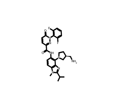 CC(C)c1nc2c(N3CC[C@@H](CN)C3)c(NC(=O)c3ccc(=O)n(-c4c(F)cccc4F)n3)ccc2n1C